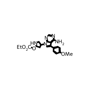 CCOC(=O)OC1CC(n2cc(-c3ccc(OC)cc3)c3c(N)ncnc32)CN1